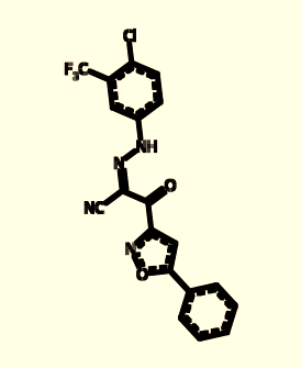 N#CC(=NNc1ccc(Cl)c(C(F)(F)F)c1)C(=O)c1cc(-c2ccccc2)on1